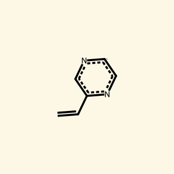 C=Cc1cn[c]cn1